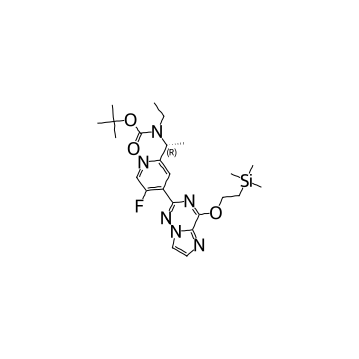 CCN(C(=O)OC(C)(C)C)[C@H](C)c1cc(-c2nc(OCC[Si](C)(C)C)c3nccn3n2)c(F)cn1